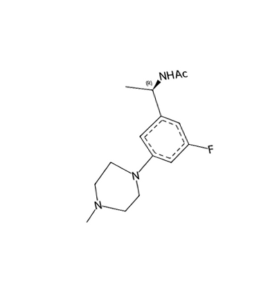 CC(=O)N[C@H](C)c1cc(F)cc(N2CCN(C)CC2)c1